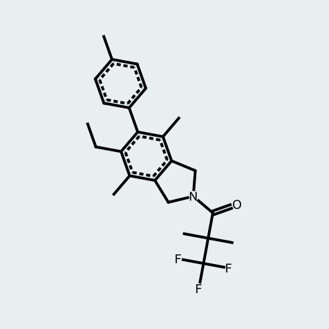 CCc1c(C)c2c(c(C)c1-c1ccc(C)cc1)CN(C(=O)C(C)(C)C(F)(F)F)C2